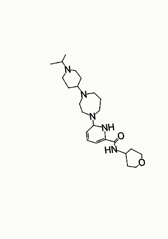 CC(C)N1CCC(N2CCCN(C3C=CC=C(C(=O)NC4CCOCC4)N3)CC2)CC1